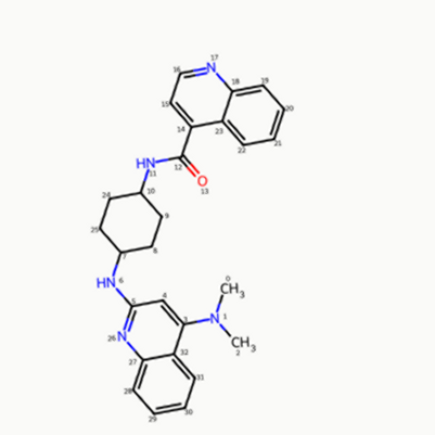 CN(C)c1cc(NC2CCC(NC(=O)c3ccnc4ccccc34)CC2)nc2ccccc12